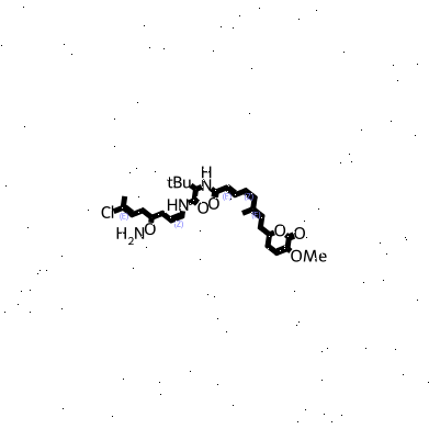 COC1=CCC(C/C=C(C)/C=C\C=C\C(=O)NC(C(=O)N/C=C\CC(C/C=C(\C)Cl)ON)C(C)(C)C)OC1=O